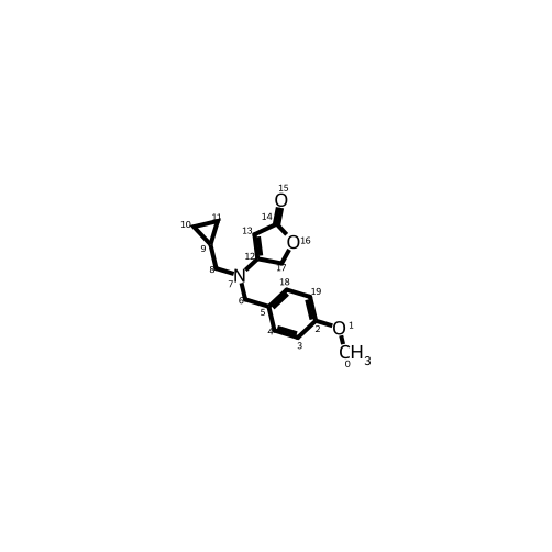 COc1ccc(CN(CC2CC2)C2=CC(=O)OC2)cc1